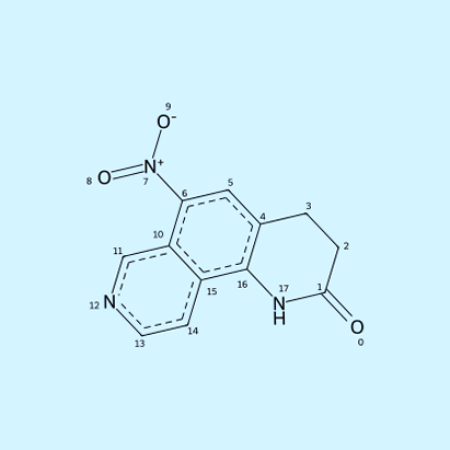 O=C1CCc2cc([N+](=O)[O-])c3cnccc3c2N1